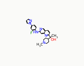 CN1CCC([C@@](C)(O)c2ccc3cnc(Nc4ccc(-n5cccn5)cc4F)cc3n2)CC1